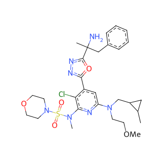 COCCN(CC1CC1C)c1cc(-c2nnc(C(C)(N)Cc3ccccc3)o2)c(Cl)c(N(C)S(=O)(=O)N2CCOCC2)n1